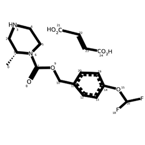 C[C@@H]1CNCCN1C(=O)OCc1ccc(OC(F)F)cc1.O=C(O)/C=C/C(=O)O